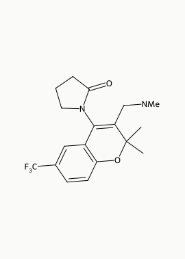 CNCC1=C(N2CCCC2=O)c2cc(C(F)(F)F)ccc2OC1(C)C